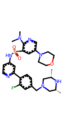 C[C@@H]1CN(Cc2ccc(-c3cc(NS(=O)(=O)c4cc(N5CCOCC5)cnc4N(C)C)ccn3)c(F)c2)C[C@H](C)N1